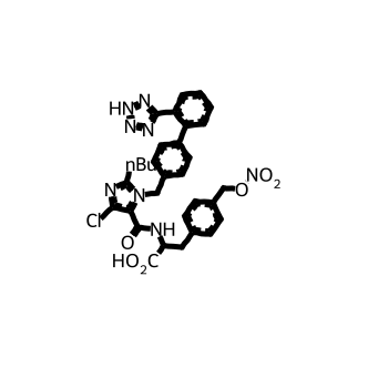 CCCCc1nc(Cl)c(C(=O)NC(Cc2ccc(CO[N+](=O)[O-])cc2)C(=O)O)n1Cc1ccc(-c2ccccc2-c2nn[nH]n2)cc1